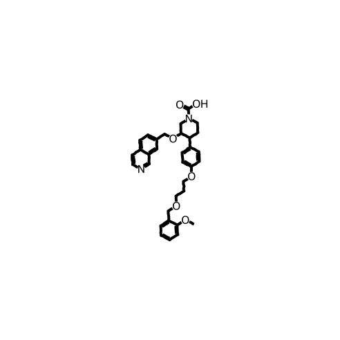 COc1ccccc1COCCCOc1ccc(C2CCN(C(=O)O)CC2OCc2ccc3ccncc3c2)cc1